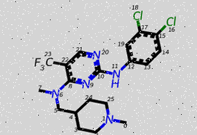 CN1CCC(CN(C)c2nc(Nc3ccc(Cl)c(Cl)c3)ncc2C(F)(F)F)CC1